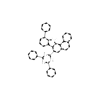 c1ccc(-c2nc(-c3ccccc3)nc(-c3cc4ccc5ccccc5c4c4[se]c5c(-c6ccccc6)cccc5c34)n2)cc1